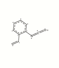 C=Cc1ccccc1N=C=O